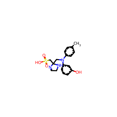 Cc1ccc(N(CC2(CS(=O)(=O)O)N=CCN2)c2cccc(O)c2)cc1